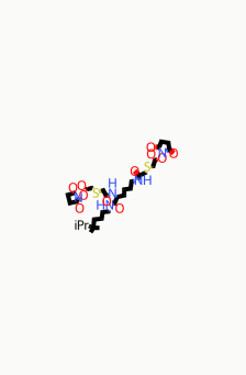 CC(C)C(C)(C)CCCCNC(=O)C(CCCCNC(=O)CSCC(=O)ON1C(=O)CCC1=O)NC(=O)CSCC(=O)ON1C(=O)CCC1=O